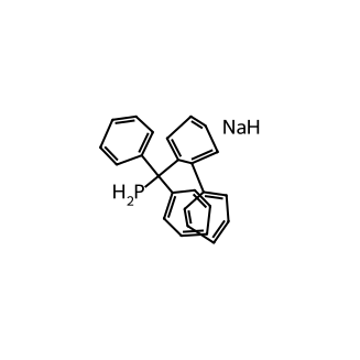 PC(c1ccccc1)(c1ccccc1)c1ccccc1-c1ccccc1.[NaH]